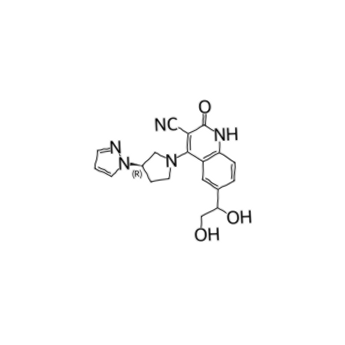 N#Cc1c(N2CC[C@@H](n3cccn3)C2)c2cc(C(O)CO)ccc2[nH]c1=O